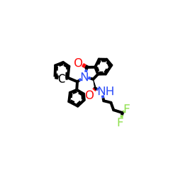 O=C(NCCCC(F)F)[C@@H]1c2ccccc2C(=O)N1C(c1ccccc1)c1ccccc1